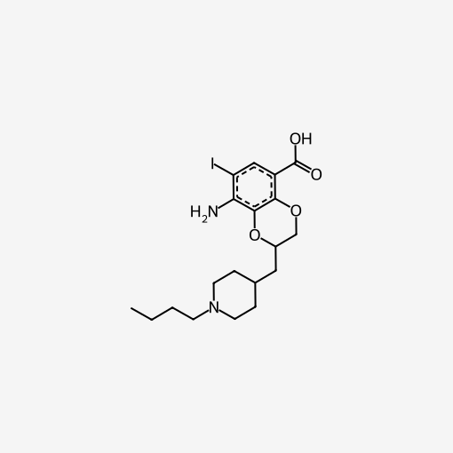 CCCCN1CCC(CC2COc3c(C(=O)O)cc(I)c(N)c3O2)CC1